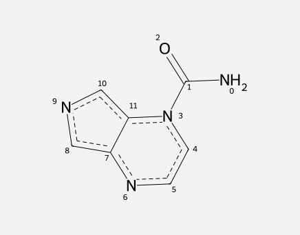 NC(=O)n1ccnc2cncc1-2